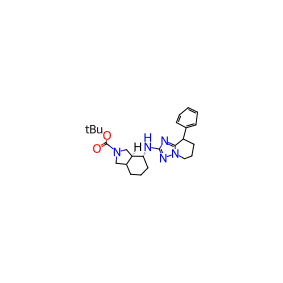 CC(C)(C)OC(=O)N1CC2CCC[C@@H](Nc3nc4n(n3)CCCC4c3ccccc3)[C@@H]2C1